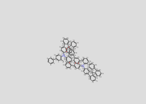 Cc1cc(-c2ccccc2)ccc1N(c1ccc2c(c1)C1(c3ccccc3-c3cc(-c4cccc(-c5ccccc5N(c5ccc(-c6ccccc6)cc5)c5ccc6c(c5)C5(c7ccccc7-c7ccccc75)c5ccccc5-6)c4)ccc31)c1ccccc1-2)c1ccccc1-c1ccccc1